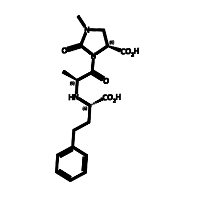 C[C@H](N[C@@H](CCc1ccccc1)C(=O)O)C(=O)N1C(=O)N(C)C[C@H]1C(=O)O